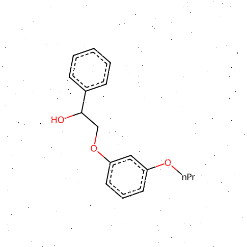 CCCOc1cccc(OCC(O)c2ccccc2)c1